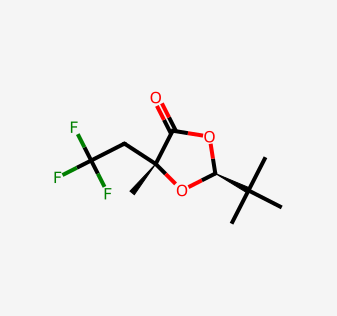 CC(C)(C)[C@@H]1OC(=O)[C@@](C)(CC(F)(F)F)O1